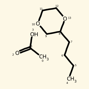 CC(=O)O.CCCCC1COCCO1